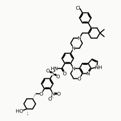 CC1(C)CCC(CN2CCN(c3ccc(C(=O)NS(=O)(=O)c4ccc(OC[C@H]5CC[C@](C)(O)CC5)c([N+](=O)[O-])c4)c(N4CCOc5nc6[nH]ccc6cc54)c3)CC2)=C(c2ccc(Cl)cc2)C1